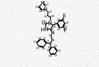 O=C1NC(=NCCC(c2ccccc2)c2ccccc2)C(c2cc(F)cc(F)c2)N1CCCn1ccnc1